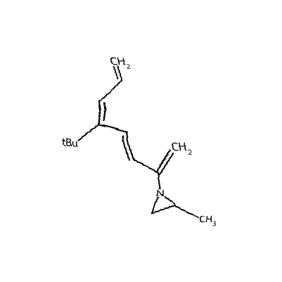 C=C/C=C(\C=CC(=C)N1CC1C)C(C)(C)C